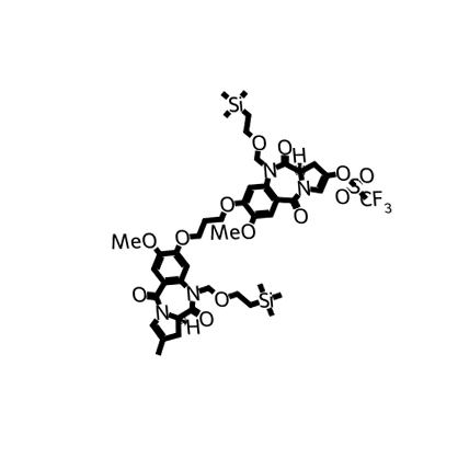 COc1cc2c(cc1OCCCOc1cc3c(cc1OC)C(=O)N1C=C(OS(=O)(=O)C(F)(F)F)C[C@H]1C(=O)N3COCC[Si](C)(C)C)N(COCC[Si](C)(C)C)C(=O)[C@@H]1CC(C)=CN1C2=O